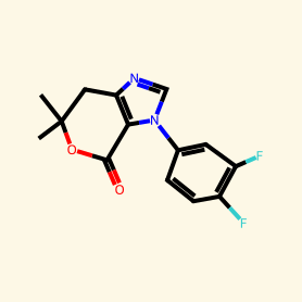 CC1(C)Cc2ncn(-c3ccc(F)c(F)c3)c2C(=O)O1